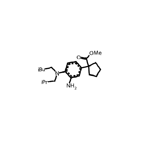 CCC(C)CN(CC(C)C)c1ccc(C2(C(=O)OC)CCCC2)cc1N